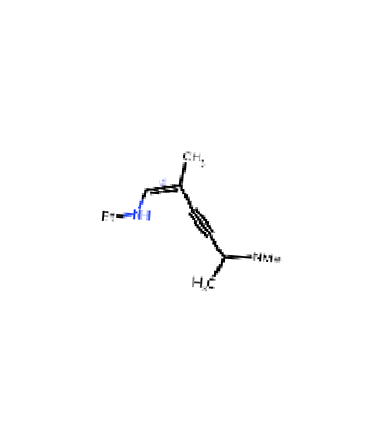 CCN/C=C(/C)C#CC(C)NC